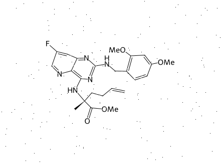 C=CCC[C@@](C)(Nc1nc(NCc2ccc(OC)cc2OC)nc2cc(F)cnc12)C(=O)OC